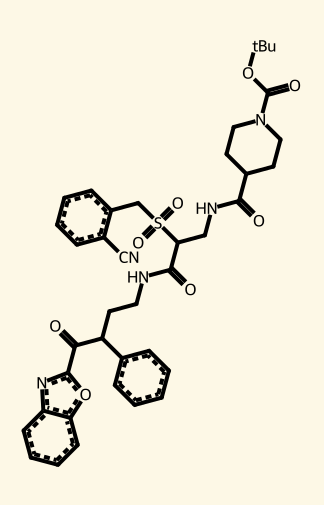 CC(C)(C)OC(=O)N1CCC(C(=O)NCC(C(=O)NCCC(C(=O)c2nc3ccccc3o2)c2ccccc2)S(=O)(=O)Cc2ccccc2C#N)CC1